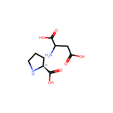 NC(CC(=O)O)C(=O)O.O=C(O)[C@@H]1CCCN1